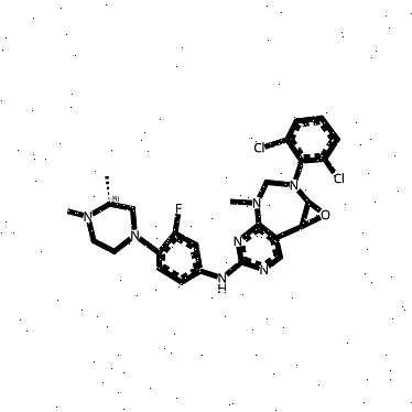 C[C@@H]1CN(c2ccc(Nc3ncc4c(n3)N(C)CN(c3c(Cl)cccc3Cl)C3OC43)cc2F)CCN1C